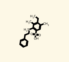 CCc1c(C)cc(S(=O)(=O)O)c([SiH2]CCc2ccccc2)c1C